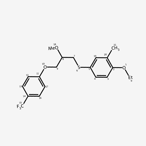 CCOc1ccc(SCC(COc2ccc(C(F)(F)F)cc2)OC)cc1C